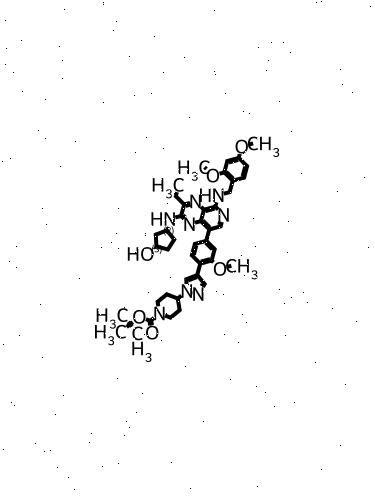 CCc1nc2c(NCc3ccc(OC)cc3OC)ncc(-c3ccc(-c4cnn(C5CCN(C(=O)OC(C)(C)C)CC5)c4)c(OC)c3)c2nc1N[C@@H]1CC[C@H](O)C1